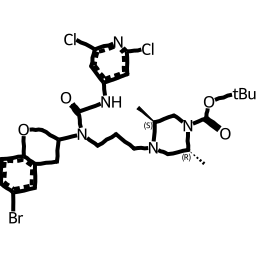 C[C@@H]1CN(CCCN(C(=O)Nc2cc(Cl)nc(Cl)c2)C2COc3ccc(Br)cc3C2)[C@@H](C)CN1C(=O)OC(C)(C)C